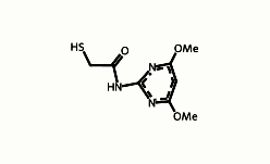 COc1cc(OC)nc(NC(=O)CS)n1